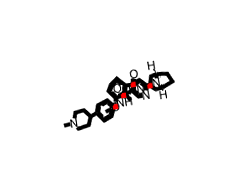 COc1cccc(C(=O)N[C@H]2C[C@H]3CC[C@@H](C2)N3c2ccc(C(=O)Nc3ccc(C4CCN(C)CC4)cc3)cn2)c1C